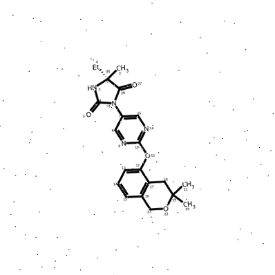 CC[C@@]1(C)NC(=O)N(c2cnc(Oc3cccc4c3CC(C)(C)OC4)nc2)C1=O